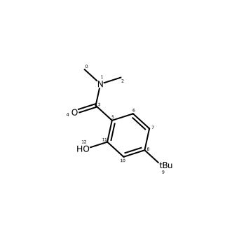 CN(C)C(=O)c1ccc(C(C)(C)C)cc1O